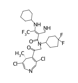 C[C@H]1C(Cl)=CN=CC(Cl)=C1C(=O)CN(C(=O)/C(C=N)=C(/NC1CCCCC1)C(F)(F)F)C1CCC(F)(F)CC1